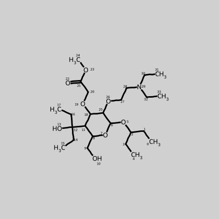 CCC(CC)OC1OC(CO)C(C(O)(CC)CC)C(OCC(=O)OC)C1OCCN(CC)CC